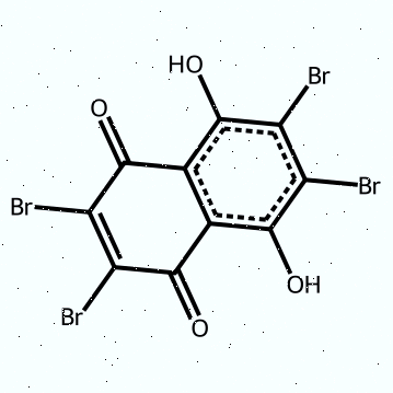 O=C1C(Br)=C(Br)C(=O)c2c(O)c(Br)c(Br)c(O)c21